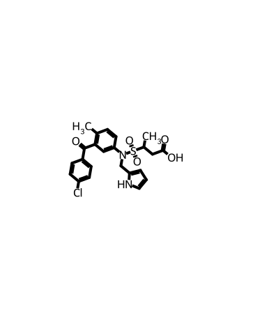 Cc1ccc(N(Cc2ccc[nH]2)S(=O)(=O)C(C)CC(=O)O)cc1C(=O)c1ccc(Cl)cc1